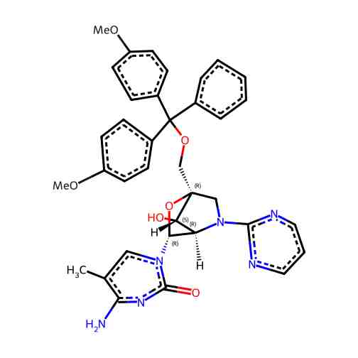 COc1ccc(C(OC[C@@]23CN(c4ncccn4)[C@@H]([C@H](n4cc(C)c(N)nc4=O)O2)[C@@H]3O)(c2ccccc2)c2ccc(OC)cc2)cc1